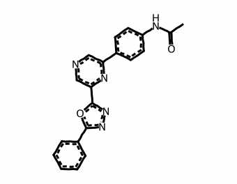 CC(=O)Nc1ccc(-c2cncc(-c3nnc(-c4ccccc4)o3)n2)cc1